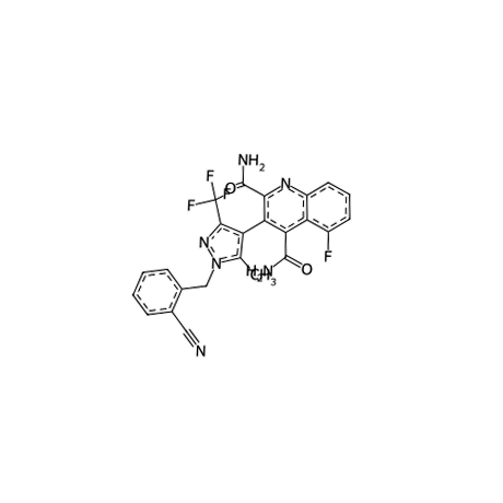 Cc1c(-c2c(C(N)=O)nc3cccc(F)c3c2C(N)=O)c(C(F)(F)F)nn1Cc1ccccc1C#N